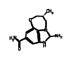 C[C@H]1COc2cc(C(N)=O)cc3c2N(C1)C(N)N3